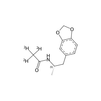 [2H]C([2H])([2H])C(=O)N[C@@H](C)Cc1ccc2c(c1)OCO2